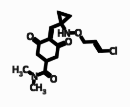 CN(C)C(=O)C1CC(=O)C(=CC2(NOCC=CCl)CC2)C(=O)C1